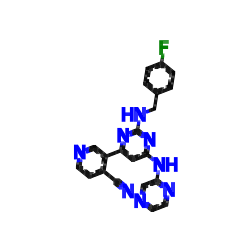 N#Cc1ccncc1-c1cc(Nc2cnccn2)nc(NCc2ccc(F)cc2)n1